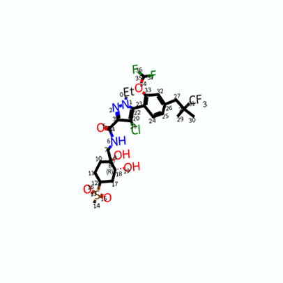 CCn1nc(C(=O)NC[C@]2(O)CCC(S(C)(=O)=O)C[C@H]2O)c(Cl)c1-c1ccc(CC(C)(C)C(F)(F)F)cc1OC(F)F